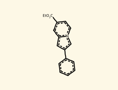 CCOC(=O)c1ccn2cc(-c3ccccc3)cc2c1